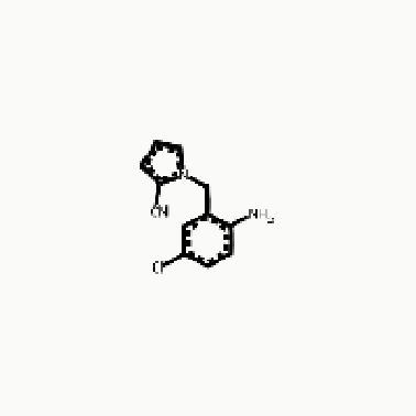 N#Cc1cccn1Cc1cc(Cl)ccc1N